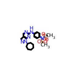 CS(=O)(=O)N(c1ccc(Nc2ncc3cnn(C4CCCCCC4)c3n2)cc1)S(C)(=O)=O